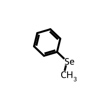 C[Se]c1ccccc1